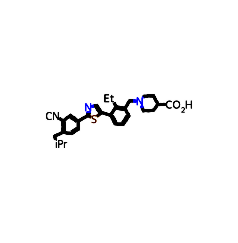 [C-]#[N+]c1cc(-c2ncc(-c3cccc(CN4CCC(C(=O)O)CC4)c3CC)s2)ccc1CC(C)C